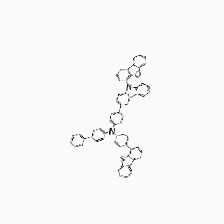 c1ccc(-c2ccc(N(c3ccc(-c4ccc5c(c4)c4ccccc4n5-c4cccc5c4oc4ccccc45)cc3)c3ccc(-c4cccc5c4sc4ccccc45)cc3)cc2)cc1